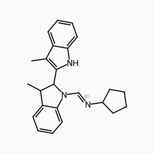 Cc1c(C2C(C)c3ccccc3N2/C=N/C2CCCC2)[nH]c2ccccc12